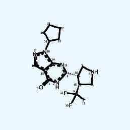 O=c1[nH]c([C@@H]2CNC[C@H]2C(F)(F)F)nc2c1cnn2C1CCCC1